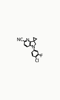 N#Cc1ccc2c(n1)C1(CC1)CN2c1ccc(Cl)c(F)c1